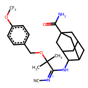 CC(C)(OCc1ccc(OC(F)(F)F)cc1)/C(=N\C#N)NC1C2CC3CC1CC(C(N)=O)(C3)C2